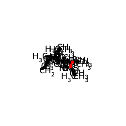 C=CCOC(=O)CNC(=O)C(=O)C(CCC)NC(=O)C1CN(C(=O)OC(C)(C)C)CCN1C(=O)C(NC(=O)[C@@H](NC(=O)[C@H](CCC(=O)OC(C)(C)C)NC(=O)[C@H](CCC(=O)OC(C)(C)C)NC(C)=O)C(C)C)C(C)C